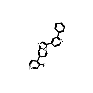 Fc1cnccc1-c1ccn2c(-c3ccnc(-c4ccccc4)c3)cnc2c1